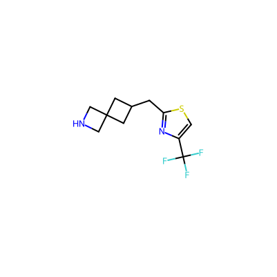 FC(F)(F)c1csc(CC2CC3(CNC3)C2)n1